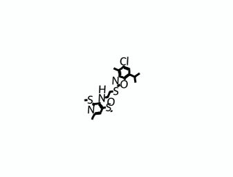 CSc1cc(C)nc(SC)c1NC(=O)CSc1nc2c(C)c(Cl)cc(C(C)C)c2o1